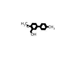 COc1ccc(-c2ccc(C)cc2)cc1CO